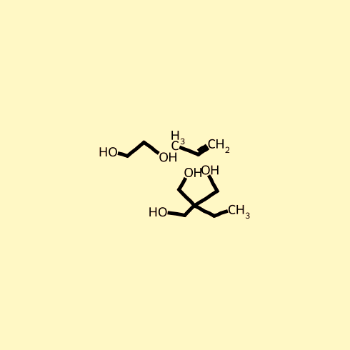 C=CC.CCC(CO)(CO)CO.OCCO